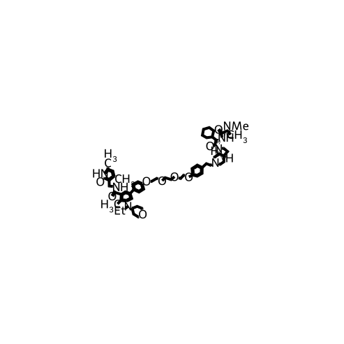 CCN(c1cc(-c2ccc(OCCOCCOCCOc3ccc(CCN4CC[C@H]5CCN(C(=O)[C@@H](NC(=O)[C@H](C)NC)C6CCCCC6)[C@H]5C4)cc3)cc2)cc(C(=O)NCc2c(C)cc(C)[nH]c2=O)c1C)C1CCOCC1